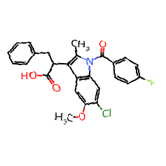 COc1cc2c(C(Cc3ccccc3)C(=O)O)c(C)n(C(=O)c3ccc(F)cc3)c2cc1Cl